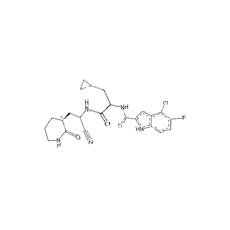 N#CC(C[C@@H]1CCCNC1=O)NC(=O)C(CC1CC1)NC(=O)c1cc2c(Cl)c(F)ccc2[nH]1